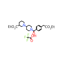 CCOC(=O)Cc1ccc(C(=O)N2CCC(N3CCCC(C(=O)OCC)C3)CC2)cc1.O=C(O)C(F)(F)F